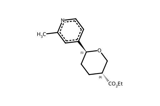 CCOC(=O)[C@@H]1CC[C@@H](c2ccnc(C)c2)OC1